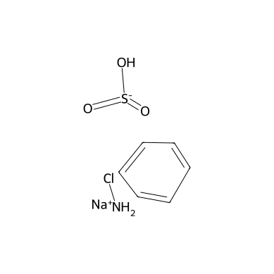 NCl.O=[S-](=O)O.[Na+].c1ccccc1